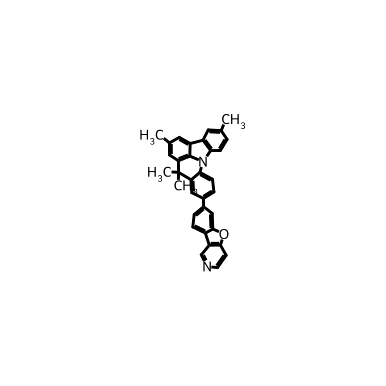 Cc1ccc2c(c1)c1cc(C)cc3c1n2-c1ccc(-c2ccc4c(c2)oc2ccncc24)cc1C3(C)C